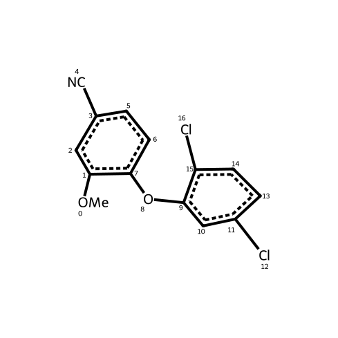 COc1cc(C#N)ccc1Oc1cc(Cl)ccc1Cl